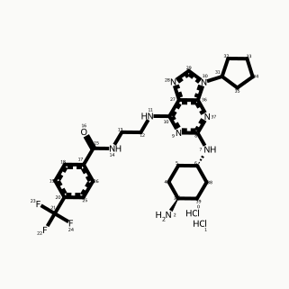 Cl.Cl.N[C@H]1CC[C@H](Nc2nc(NCCNC(=O)c3ccc(C(F)(F)F)cc3)c3ncn(C4CCCC4)c3n2)CC1